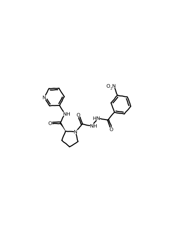 O=C(NNC(=O)N1CCC[C@H]1C(=O)Nc1cccnc1)c1cccc([N+](=O)[O-])c1